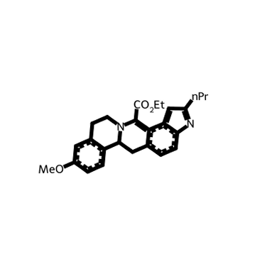 CCCC1=Nc2ccc3c(c2=C1)=C(C(=O)OCC)N1CCc2cc(OC)ccc2C1C3